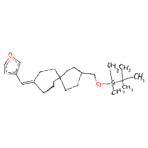 CC(C)(C)[Si](C)(C)OCC1CCC2(CCC(=Cc3ccoc3)CC2)CC1